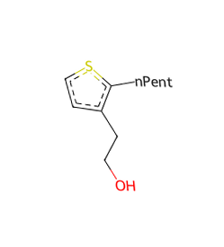 CCCCCc1sccc1CCO